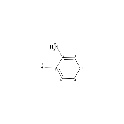 NC1=CCCC=C1Br